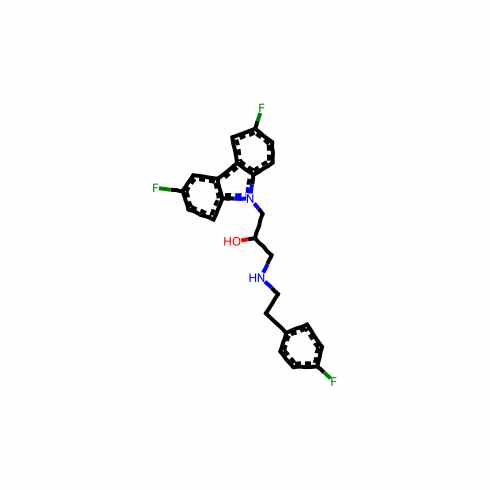 OC(CNCCc1ccc(F)cc1)Cn1c2ccc(F)cc2c2cc(F)ccc21